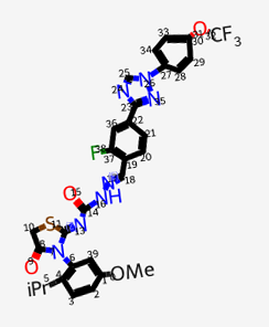 COc1ccc(C(C)C)c(N2C(=O)CS/C2=N\C(=O)N/N=C/c2ccc(-c3ncn(-c4ccc(OC(F)(F)F)cc4)n3)cc2F)c1